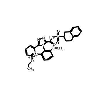 CCOc1cccc(-c2nnc(C(=O)NS(=O)(=O)C3CCc4ccccc4C3)n2-c2c(OC)cccc2OC)n1